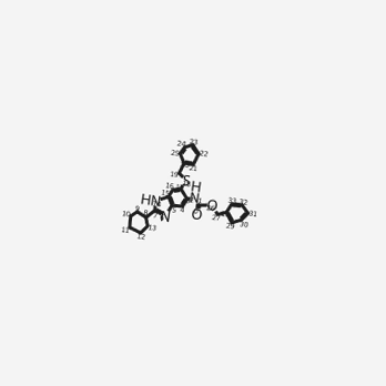 O=C(Nc1cc2nc(C3CCCCC3)[nH]c2cc1SCc1ccccc1)OCc1ccccc1